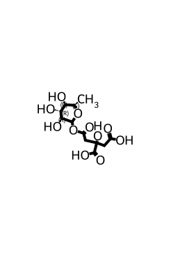 C[C@@H]1OC(OC(=O)CC(O)(CC(=O)O)C(=O)O)[C@H](O)[C@H](O)[C@H]1O